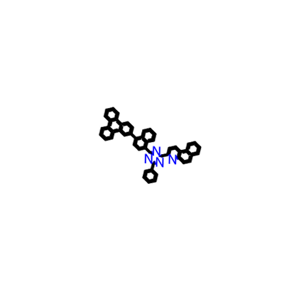 c1ccc(-c2nc(-c3ccc4c(ccc5ccccc54)n3)nc(-c3ccc(-c4ccc5c6ccccc6c6ccccc6c5c4)c4ccccc34)n2)cc1